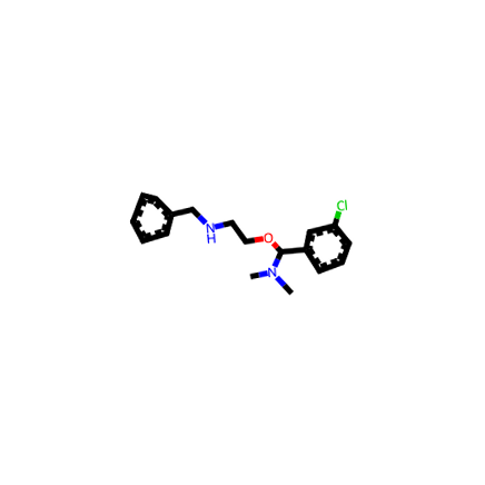 CN(C)C(OCCNCc1ccccc1)c1cccc(Cl)c1